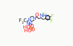 N[C@@H](CC(=O)N1CCN2C(C(F)(F)F)=NN(OP(=O)(O)O)C2C1)Cc1cc(F)c(F)cc1F